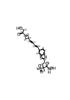 CC(CCc1nc2ccc(C#CC#CC3CN(C(=O)CO)C3)cc2s1)(C(=O)NO)S(C)(=O)=O